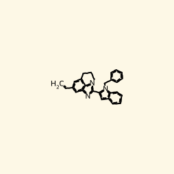 C=Cc1cc2c3c(c1)nc(-c1cc4ccccc4n1Cc1ccccc1)n3CCC2